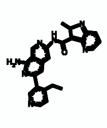 CCc1ccncc1-c1cc2cc(NC(=O)C3=c4ncccc4=NC3C)ncc2c(N)n1